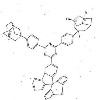 CC1(c2ccc(-c3nc(-c4ccc(C56CC7C[C@]8(C[C@H]8C5)C7C6)cc4)nc(-c4ccc5c(c4)-c4ccccc4C54c5ccccc5Oc5ccccc54)n3)cc2)CC2C[C@@H]3C[C@H](CC23)C1